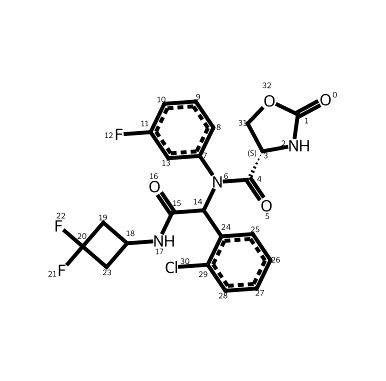 O=C1N[C@H](C(=O)N(c2cccc(F)c2)C(C(=O)NC2CC(F)(F)C2)c2ccccc2Cl)CO1